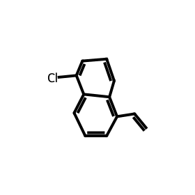 C=Cc1cccc2c(Cl)cccc12